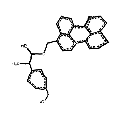 CC(C)Cc1ccc(C(C)C(O)OCc2ccc3c4cccc5cccc(c6cccc2c63)c54)cc1